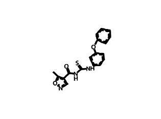 Cc1oncc1C(=O)NC(=S)Nc1cccc(Oc2ccccc2)c1